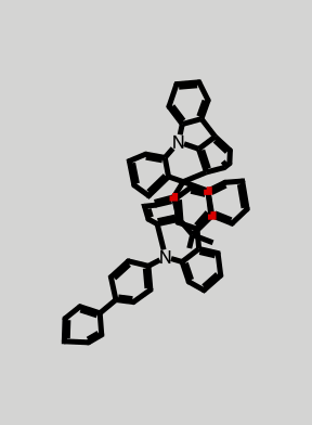 CC1(C)c2ccccc2C2(c3ccccc3-n3c4ccccc4c4cccc2c43)c2cccc(N(c3ccc(-c4ccccc4)cc3)c3ccccc3-c3ccccc3)c21